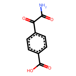 NC(=O)C(=O)c1ccc(C(=O)O)cc1